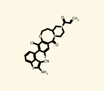 C=CC(=O)N1CCN2C(=O)c3cc(F)c(-c4cccc5sc(N)c(C#N)c45)c(Cl)c3OCCC2C1